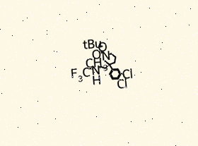 C[C@H](NCC[C@]1(c2ccc(Cl)c(Cl)c2)CCCN(C(=O)OC(C)(C)C)C1)C(F)(F)F